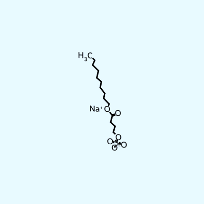 CCCCCCCCCCOC(=O)CCCOS(=O)(=O)[O-].[Na+]